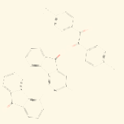 O=C(C(=O)c1ccc([N+](=O)[O-])cc1)c1ccc([N+](=O)[O-])cc1.O=C(O)c1ccc2c(c1)C(=O)c1ccccc1-2.O=C(O)c1cccc2c1-c1ccccc1C2=O